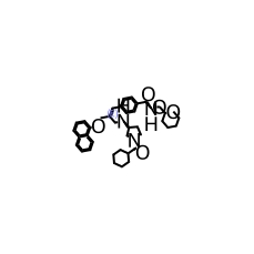 O=C(NOC1CCCCO1)c1ccc(/C=C(\CNC2CCN(C(=O)C3CCCCC3)C2)COc2cccc3ccccc23)cc1